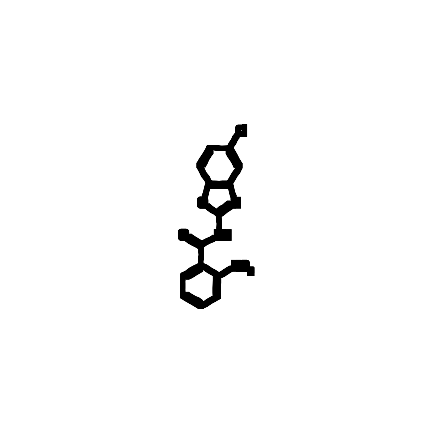 O=C(Nc1nc2cc(Cl)ccc2o1)c1ccccc1[N+](=O)[O-]